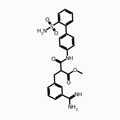 COC(=O)C(Cc1cccc(C(=N)N)c1)C(=O)Nc1ccc(-c2ccccc2S(N)(=O)=O)cc1